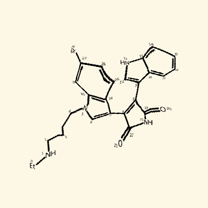 CCNCCCn1cc(C2=C(c3c[nH]c4ccccc34)C(=O)NC2=O)c2ccc(Br)cc21